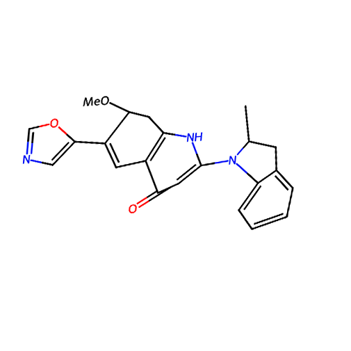 COC1Cc2[nH]c(N3c4ccccc4CC3C)cc(=O)c2C=C1c1cnco1